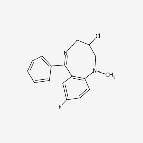 CN1CC(Cl)C/N=C(/c2ccccc2)c2cc(F)ccc21